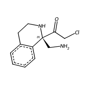 NC[C@]1(C(=O)CCl)NCCc2ccccc21